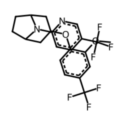 COc1cc(C(F)(F)F)ccc1OC1CC2CCC(C1)N2c1ccc(C(F)(F)F)cn1